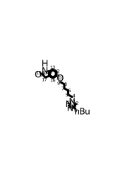 CCCCc1cn(CCCCCCOc2ccc3c(c2)CC(=O)N3)nn1